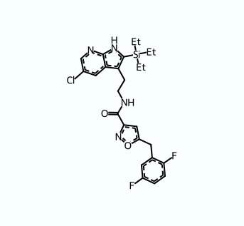 CC[Si](CC)(CC)c1[nH]c2ncc(Cl)cc2c1CCNC(=O)c1cc(Cc2cc(F)ccc2F)on1